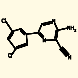 N#Cc1nc(-c2cc(Cl)cc(Cl)c2)cnc1N